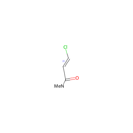 CNC(=O)/C=C/Cl